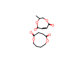 CC1COC(=O)C=CC(=O)O1.O=C1CCC(=O)OCCCCO1